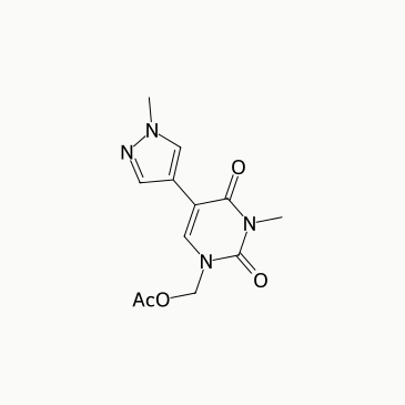 CC(=O)OCn1cc(-c2cnn(C)c2)c(=O)n(C)c1=O